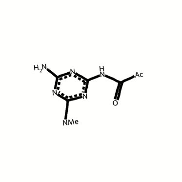 CNc1nc(N)nc(NC(=O)C(C)=O)n1